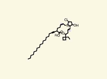 CCCCCCCCCCCCCCCC#CC(CC/C=C\C[C@@H]1[C@H](/C=C/C[C@H](O)C2(CC)CCC2)[C@H](O)C[C@@H]1Cl)C(=O)O